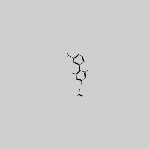 CC(C)c1cccc(-c2c(F)cc(OCC(=O)O)cc2F)c1